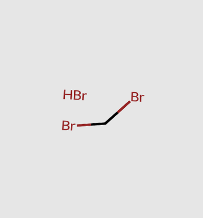 Br.BrCBr